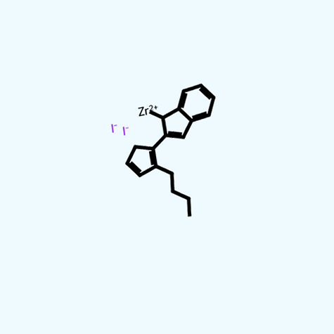 CCCCC1=C(C2=Cc3ccccc3[CH]2[Zr+2])CC=C1.[I-].[I-]